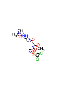 COC(=O)[C@H](CCC(=O)N1CCC(CNC(=O)CN(C)C)CC1)NC(=O)[C@H]1CCCN1S(=O)(=O)c1cc(Cl)cc(Cl)c1